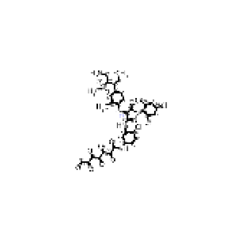 CCC(c1ccc(/N=C2\C(=O)N(c3c(Cl)cc(Cl)cc3Cl)N=C2Nc2cc(NC(=O)C(=O)C(=O)C(=O)C(=O)C(=O)C=O)ccc2Cl)c(C)c1)C(CN)S(C)(=O)=O